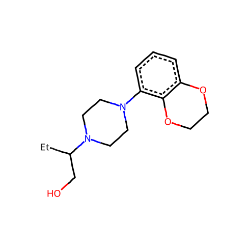 CCC(CO)N1CCN(c2cccc3c2OCCO3)CC1